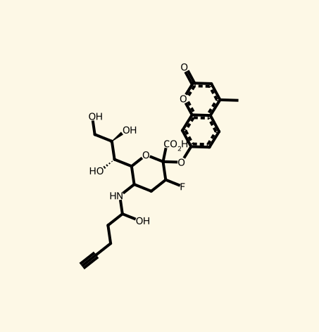 C#CCCC(O)NC1CC(F)C(Oc2ccc3c(C)cc(=O)oc3c2)(C(=O)O)OC1[C@H](O)[C@H](O)CO